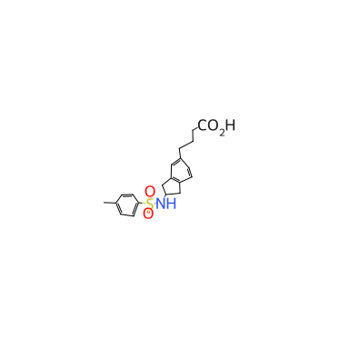 Cc1ccc(S(=O)(=O)NC2Cc3ccc(CCCC(=O)O)cc3C2)cc1